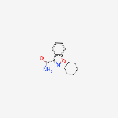 C1CCCCC1.NC(=O)c1noc2ccccc12